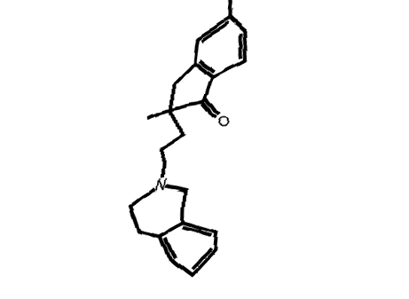 CC1(CCN2CCc3ccccc3C2)Cc2cc(Cl)ccc2C1=O